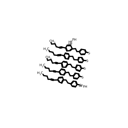 CCCCC#Cc1ccc(CCc2ccc([S])cc2)cc1.CCCCC#Cc1ccc(CCc2ccc([S])cc2)cc1.CCCCC#Cc1ccc(CCc2ccc([S])cc2)cc1.CCCCC#Cc1ccc(CCc2ccc([S])cc2)cc1.CCCCC#Cc1ccc(CCc2ccc([S])cc2)cc1.F.F.F.F.F